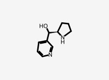 OC(c1cccnc1)[C@H]1CCCN1